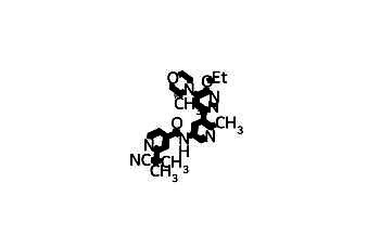 CCOc1nnc(-c2cc(NC(=O)c3ccnc(C(C)(C)C#N)c3)cnc2C)cc1N1CCOC[C@H]1C